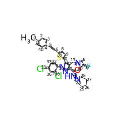 Cc1ccc(C#Cc2ccc(-c3c(CN4CC(F)C4)c(C(=O)NN4CCCCC4)nn3-c3ccc(Cl)cc3Cl)s2)cc1